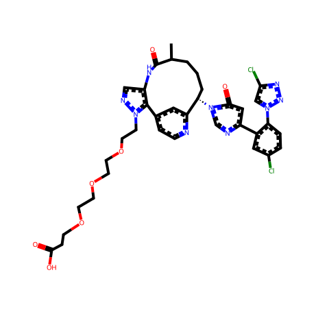 CC1CCC[C@H](n2cnc(-c3cc(Cl)ccc3-n3cc(Cl)nn3)cc2=O)c2cc(ccn2)-c2c(cnn2CCOCCOCCOCCC(=O)O)NC1=O